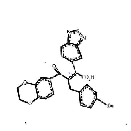 CC(C)(C)c1ccc(C/C(C(=O)c2ccc3c(c2)OCCO3)=C(\C(=O)O)c2ccc3nsnc3c2)cc1